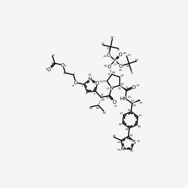 CC(=O)OCCOc1cc([C@H](C(=O)N2C[C@H](OP(=O)(OC(C)(C)C)OC(C)(C)C)C[C@H]2C(=O)N[C@@H](C)c2ccc(-c3scnc3C)cc2)C(C)C)on1